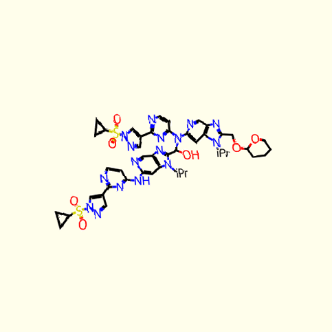 CC(C)n1c(COC2CCCCO2)nc2cnc(N(c3ccnc(-c4cnn(S(=O)(=O)C5CC5)c4)n3)C(O)c3nc4cnc(Nc5ccnc(-c6cnn(S(=O)(=O)C7CC7)c6)n5)cc4n3C(C)C)cc21